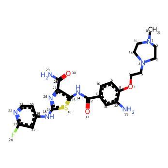 CN1CCN(CCOc2ccc(C(=O)Nc3sc(Nc4ccnc(F)c4)nc3C(N)=O)cc2N)CC1